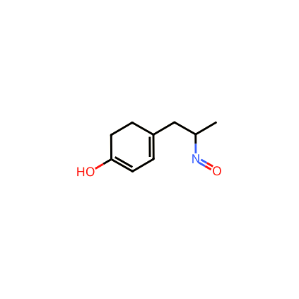 CC(CC1=CC=C(O)CC1)N=O